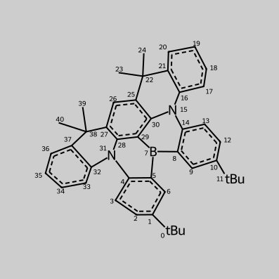 CC(C)(C)c1ccc2c(c1)B1c3cc(C(C)(C)C)ccc3N3c4ccccc4C(C)(C)c4cc5c(c1c43)N2c1ccccc1C5(C)C